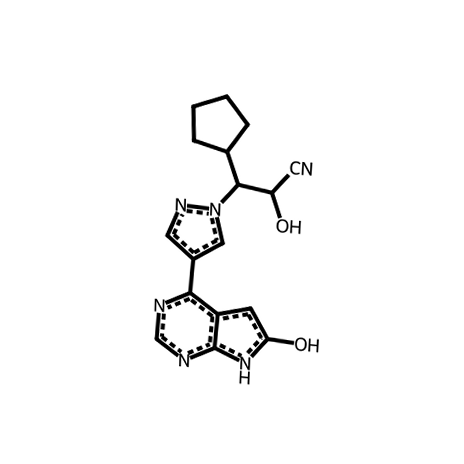 N#CC(O)C(C1CCCC1)n1cc(-c2ncnc3[nH]c(O)cc23)cn1